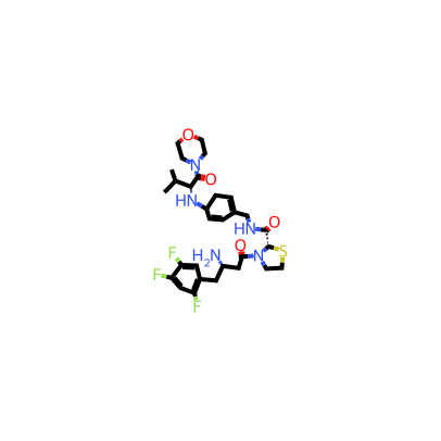 CC(C)[C@@H](NC1C=CC(CNC(=O)[C@@H]2SCCN2C(=O)C[C@H](N)Cc2cc(F)c(F)cc2F)=CC1)C(=O)N1CCOCC1